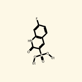 CCOP(=O)(OCC)c1cc2ccc(F)cc2[nH]c1=O